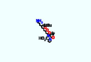 CC(/C=C/CN)=C\[C@H](CC(=O)Cc1nc(C(=O)N2CCC[C@@H]2C(=O)O)c([Si](C)(C)C)o1)O[Si](C)(C)C(C)(C)C